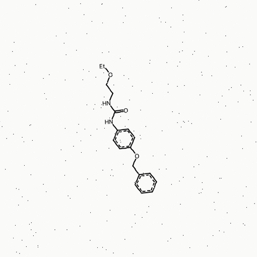 CCOCCNC(=O)Nc1ccc(OCc2ccccc2)cc1